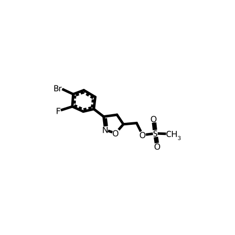 CS(=O)(=O)OCC1CC(c2ccc(Br)c(F)c2)=NO1